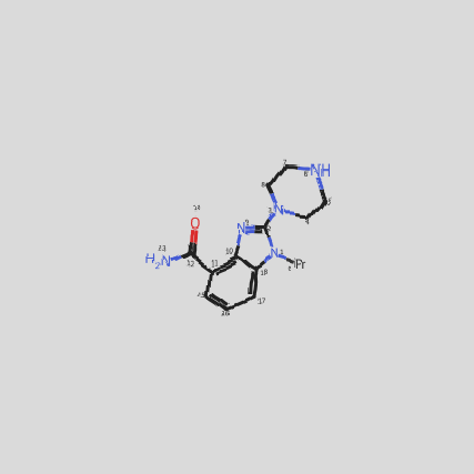 CC(C)n1c(N2CCNCC2)nc2c(C(N)=O)cccc21